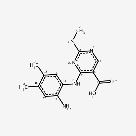 CSc1ncc(C(=O)O)c(Nc2cc(C)c(C)cc2N)n1